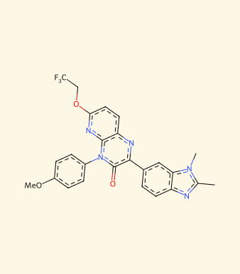 COc1ccc(-n2c(=O)c(-c3ccc4nc(C)n(C)c4c3)nc3ccc(OCC(F)(F)F)nc32)cc1